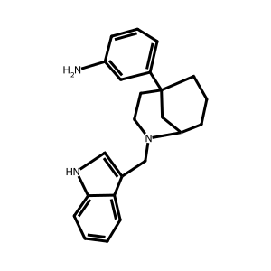 Nc1cccc(C23CCCC(C2)N(Cc2c[nH]c4ccccc24)CC3)c1